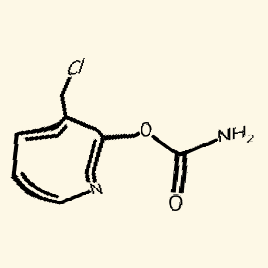 NC(=O)Oc1ncccc1Cl